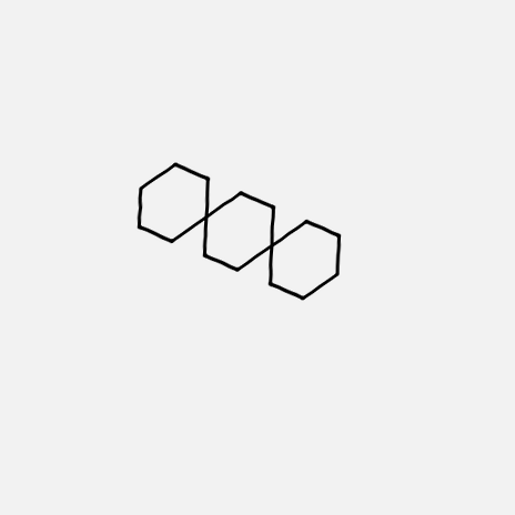 C1CCC2(CC1)CCC1(CCCCC1)CC2